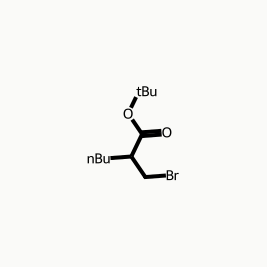 CCCCC(CBr)C(=O)OC(C)(C)C